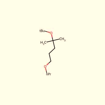 CCCOCCCC(C)(C)OC(C)(C)C